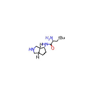 CC(C)(C)C[C@H](N)C(=O)N[C@H]1CC[C@@H]2CNC[C@@H]21